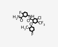 Cc1cc(F)ccc1Oc1cc(C(F)(F)F)c(Cl)cc1C(=O)Nc1ccc(F)c(C(N)=O)c1